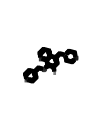 Ic1cc(CN2CCOCC2)c2cccnc2c1OCc1ccncc1